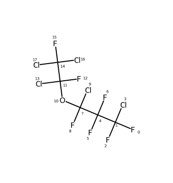 FC(F)(Cl)C(F)(F)C(F)(Cl)OC(F)(Cl)C(F)(Cl)Cl